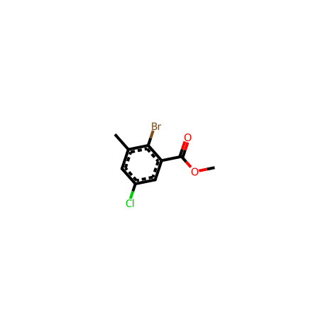 COC(=O)c1cc(Cl)cc(C)c1Br